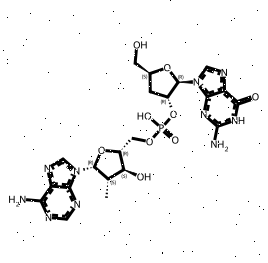 C[C@H]1[C@H](O)[C@@H](COP(=O)(O)O[C@@H]2C[C@@H](CO)O[C@H]2n2cnc3c(=O)[nH]c(N)nc32)O[C@H]1n1cnc2c(N)ncnc21